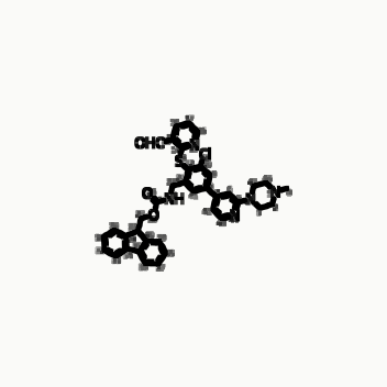 CN1CCN(c2cc(-c3cc(Cl)c(Sc4ncccc4C=O)c(CNC(=O)OCC4c5ccccc5-c5ccccc54)c3)ccn2)CC1